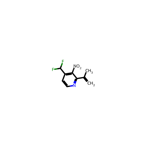 C=C(C)c1nccc(C(F)F)c1[N+](=O)[O-]